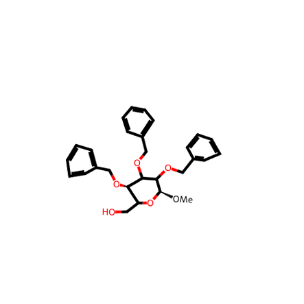 CO[C@H]1OC(CO)[C@@H](OCc2ccccc2)C(OCc2ccccc2)C1OCc1ccccc1